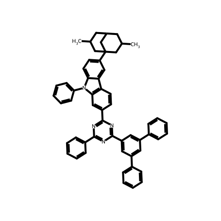 CC1CC2CC(C)CC(c3ccc4c(c3)c3ccc(-c5nc(-c6ccccc6)nc(-c6cc(-c7ccccc7)cc(-c7ccccc7)c6)n5)cc3n4-c3ccccc3)(C1)C2